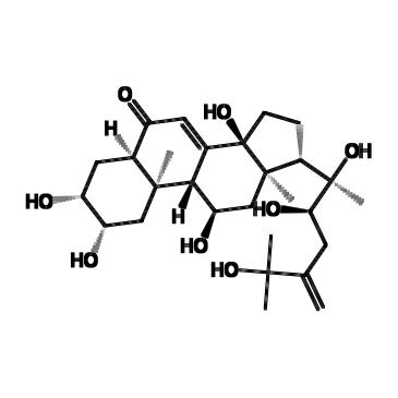 C=C(C[C@@H](O)[C@](C)(O)[C@H]1CC[C@@]2(O)C3=CC(=O)[C@@H]4C[C@@H](O)[C@@H](O)C[C@]4(C)[C@H]3[C@H](O)C[C@]12C)C(C)(C)O